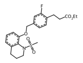 CCOC(=O)CCc1ccc(COc2cccc3c2N(S(C)(=O)=O)CCC3)cc1F